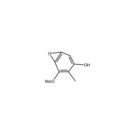 COc1c(C)c(O)cc2c1O2